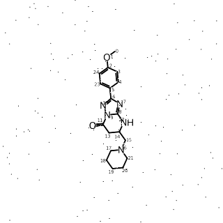 COc1ccc(-c2nc3n(n2)C(=O)CC(CN2CCCCC2)N3)cc1